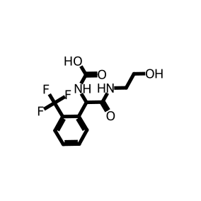 O=C(O)NC(C(=O)NCCO)c1ccccc1C(F)(F)F